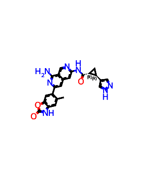 Cc1cc2[nH]c(=O)oc2cc1-c1cc2cc(NC(=O)[C@@H]3C[C@H]3c3cn[nH]c3)ncc2c(N)n1